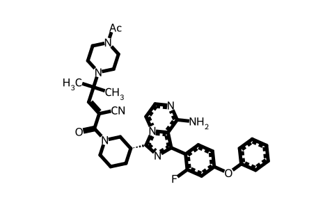 CC(=O)N1CCN(C(C)(C)/C=C(\C#N)C(=O)N2CCC[C@@H](c3nc(-c4ccc(Oc5ccccc5)cc4F)c4c(N)nccn34)C2)CC1